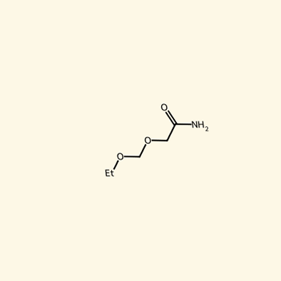 CCOCOCC(N)=O